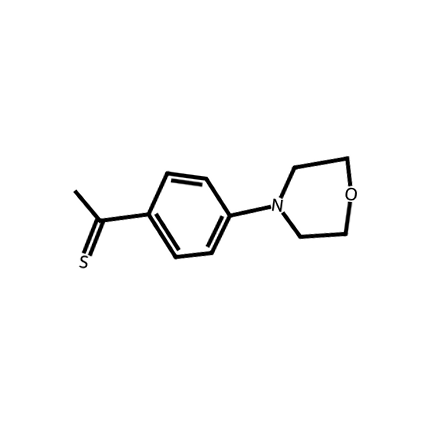 CC(=S)c1ccc(N2CCOCC2)cc1